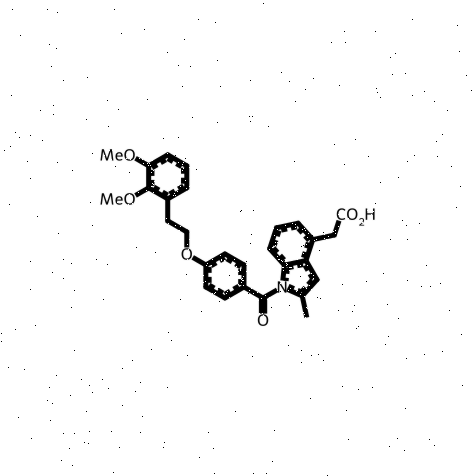 COc1cccc(CCOc2ccc(C(=O)n3c(C)cc4c(CC(=O)O)cccc43)cc2)c1OC